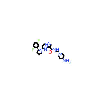 NC1CCN(CCNC(=O)c2cnn3ccc(N4CCC[C@@H]4c4cc(F)ccc4F)nc23)CC1